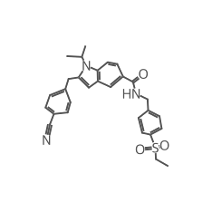 CCS(=O)(=O)c1ccc(CNC(=O)c2ccc3c(c2)cc(Cc2ccc(C#N)cc2)n3C(C)C)cc1